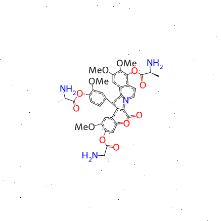 COc1cc(-c2c3c4cc(OC)c(OC(=O)[C@H](C)N)cc4oc(=O)c3n3ccc4c(OC(=O)[C@H](C)N)c(OC)c(OC)cc4c23)ccc1OC(=O)[C@H](C)N